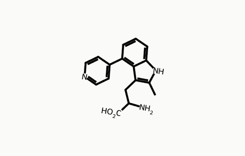 Cc1[nH]c2cccc(-c3ccncc3)c2c1CC(N)C(=O)O